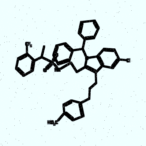 CC(c1ccccc1C(F)(F)F)S(=O)(=O)NCCc1c(CCCc2ccc(C(=O)O)cc2)c2cc(Cl)ccc2n1C(c1ccccc1)c1ccccc1